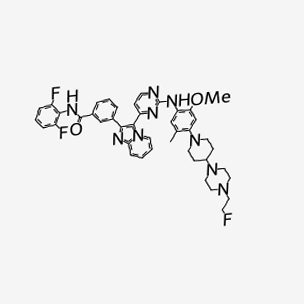 COc1cc(N2CCC(N3CCN(CCF)CC3)CC2)c(C)cc1Nc1nccc(-c2c(-c3cccc(C(=O)Nc4c(F)cccc4F)c3)nc3ccccn23)n1